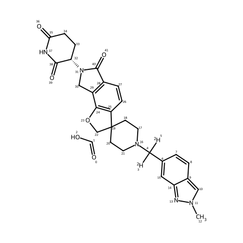 O=CO.[2H]C([2H])(c1ccc2cn(C)nc2c1)N1CCC2(CC1)COc1c2ccc2c1CN([C@H]1CCC(=O)NC1=O)C2=O